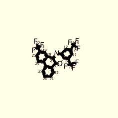 O=C1C(=Nc2cc(C(F)(F)F)cc(C(F)(F)F)c2)c2cc(C(F)(F)F)ccc2-c2ccccc21